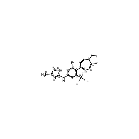 CCC1C=CC(c2c(F)cc(Nc3nc(N)n[nH]3)cc2C(F)(F)F)=CC=C1C